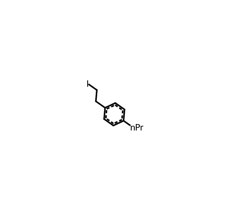 CCCc1ccc(CCI)cc1